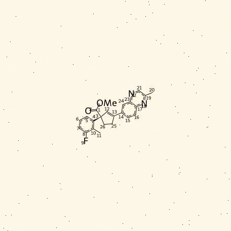 COC(=O)[C@]1(c2cccc(F)c2C)C=C(c2ccc3nc(C)cnc3c2)CC1